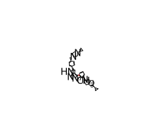 Cc1c(-c2ncnc3[nH]c(-c4ccc(CN5CCN(C6CC6)CC5)cc4)cc23)cccc1N1CCc2cc(C3CC3)ccc2C1